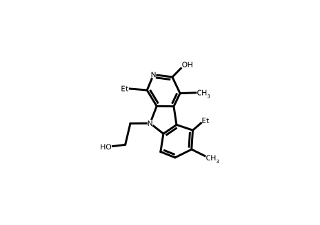 CCc1c(C)ccc2c1c1c(C)c(O)nc(CC)c1n2CCO